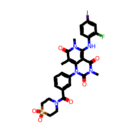 Cc1c(=O)n(C)c(Nc2ccc(I)cc2F)c2c(=O)n(C)c(=O)n(-c3cccc(C(=O)N4CCS(=O)(=O)CC4)c3)c12